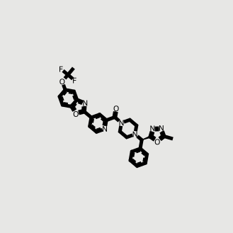 Cc1nnc([C@@H](c2ccccc2)N2CCN(C(=O)c3cc(-c4nc5cc(OC(C)(F)F)ccc5o4)ccn3)CC2)o1